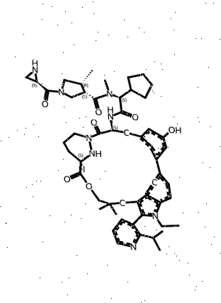 CCn1c(-c2cccnc2C(C)C)c2c3cc(ccc31)-c1cc(O)cc(c1)C[C@H](NC(=O)[C@H](C1CCCC1)N(C)C(=O)[C@@H]1CN(C(=O)[C@H]3CN3)C[C@@H]1C)C(=O)N1CCC[C@H](N1)C(=O)OCC(C)(C)C2